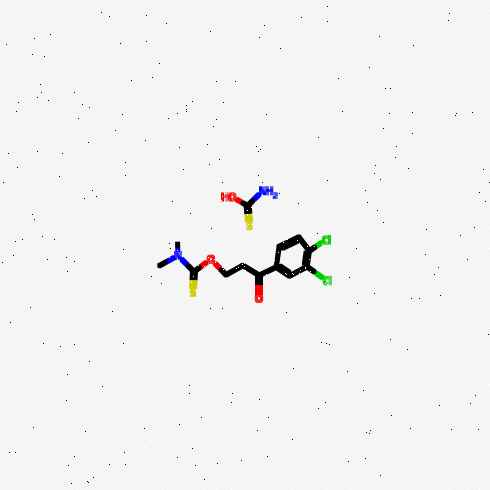 CN(C)C(=S)OCCC(=O)c1ccc(Cl)c(Cl)c1.NC(O)=S